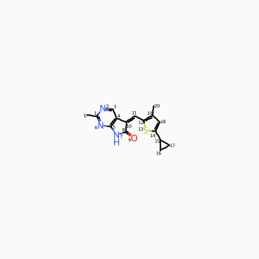 Cc1ncc2c(n1)NC(=O)C2=Cc1sc(C2CC2)cc1C